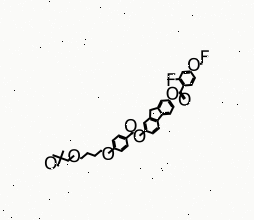 CC1(COCCCCOc2ccc(C(=O)Oc3ccc4c(c3)Cc3cc(OC(=O)c5ccc(OCF)cc5F)ccc3-4)cc2)COC1